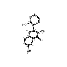 O=c1c(O)c(-c2ccccc2O)oc2ccc(O)cc12